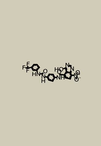 O=C(Nc1ccc(NC(=O)c2ccc([N+](=O)[O-])c3ncnc(O)c23)cc1)Nc1cccc(C(F)(F)F)c1